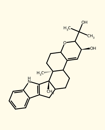 CC(C)(O)C1OC2CC[C@@]3(C)C(CCC4Cc5c([nH]c6ccccc56)[C@@]43C)C2=C[C@@H]1O